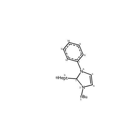 CCCCCCCC1N(CCCC)C=CN1c1ccccc1